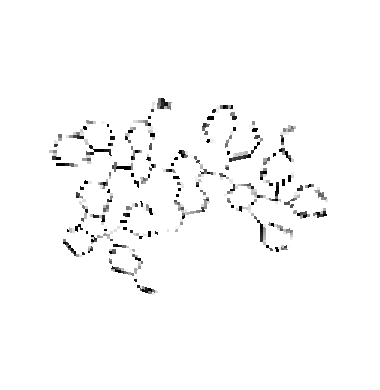 C=Cc1ccc(C2(c3ccccc3)c3ccccc3-c3ccc(N(c4cccc5ccccc45)c4ccc(-c5ccc(N(c6ccc7c(c6)C(c6ccccc6)(c6ccc(C=C)cc6)c6ccccc6-7)c6cccc7ccccc67)c6ccc(CCCC)cc56)c5cc(CCCC)ccc45)cc32)cc1